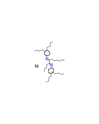 CCCCCCC(=N\c1ccc(CCCC)c(CCCC)c1)/C(CCCC)=N/c1ccc(CCCC)c(CCCC)c1.[Ni]